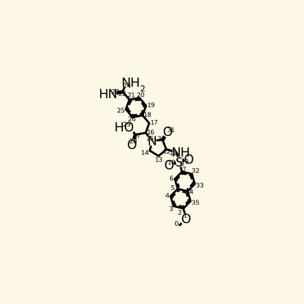 COc1ccc2cc(S(=O)(=O)NC3CCN(C(Cc4ccc(C(=N)N)cc4)C(=O)O)C3=O)ccc2c1